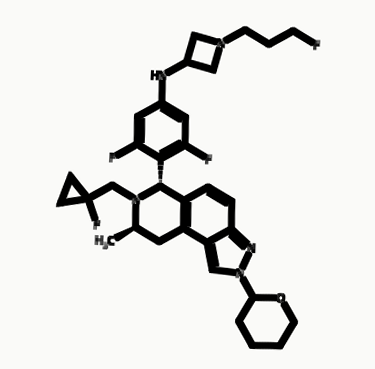 C[C@@H]1Cc2c(ccc3nn(C4CCCCO4)cc23)[C@@H](c2c(F)cc(NC3CN(CCCF)C3)cc2F)N1CC1(F)CC1